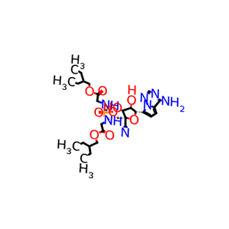 CCC(CC)COC(=O)CNP(=O)(NCC(=O)OCC(CC)CC)OC[C@@]1(C#N)O[C@@H](c2ccc3c(N)ncnn23)[C@H](O)[C@@H]1O